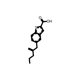 C=C(CCC)Cc1ccc2sc(C(=O)O)cc2c1